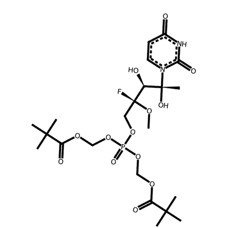 CO[C@](F)(COP(=O)(OCOC(=O)C(C)(C)C)OCOC(=O)C(C)(C)C)[C@@H](O)[C@@](C)(O)n1ccc(=O)[nH]c1=O